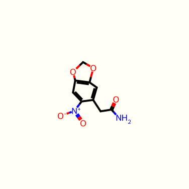 NC(=O)Cc1cc2c(cc1[N+](=O)[O-])OCO2